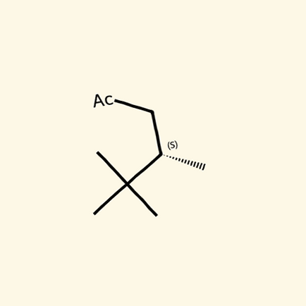 CC(=O)C[C@H](C)C(C)(C)C